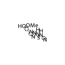 COc1cc(-c2ccc3ncc(NC(=S)Nc4ccncc4)nc3n2)ccc1O